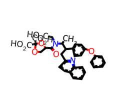 CC(C(Cc1ccc2ccccc2n1)c1ccc(Oc2ccccc2)cc1)N(CC(=O)O)C(=O)C1COC(C(=O)O)(C(=O)O)O1